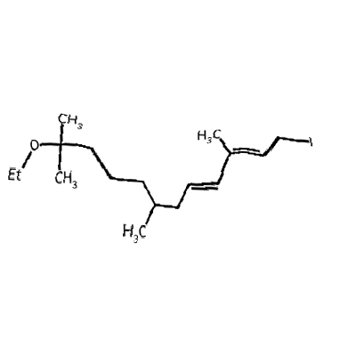 CCOC(C)(C)CCCC(C)C/C=C/C(C)=C/CI